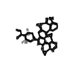 C=CC(=O)N1[C@H](C)CN(c2nc(=O)n(-c3c(C4CC4)ncnc3C3CC3)c3nc(-c4cccc5[nH]nc(N)c45)c(F)cc23)C[C@@H]1C